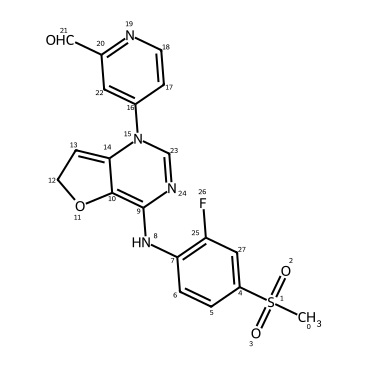 CS(=O)(=O)c1ccc(NC2=C3OCC=C3N(c3ccnc(C=O)c3)C=N2)c(F)c1